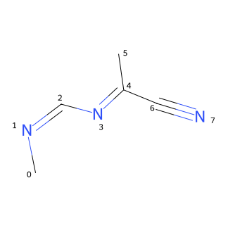 C/N=C\N=C(/C)C#N